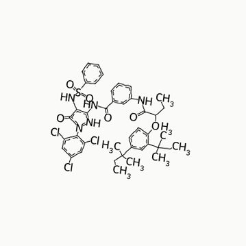 CCC(Oc1ccc(C(C)(C)CC)cc1C(C)(C)CC)C(=O)Nc1cccc(C(=O)Nc2[nH]n(-c3c(Cl)cc(Cl)cc3Cl)c(=O)c2NS(=O)(=O)c2ccccc2)c1